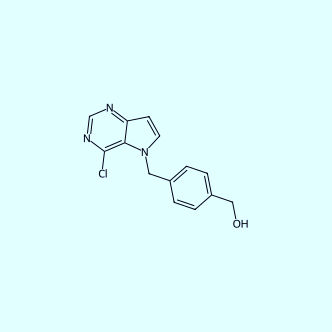 OCc1ccc(Cn2ccc3ncnc(Cl)c32)cc1